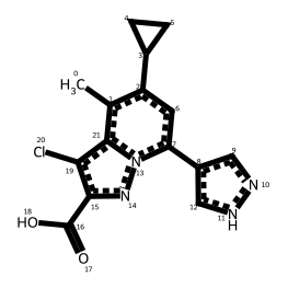 Cc1c(C2CC2)cc(-c2cn[nH]c2)n2nc(C(=O)O)c(Cl)c12